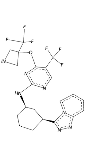 FC(F)(F)c1cnc(N[C@@H]2CCC[C@H](c3nnc4ccccn34)C2)nc1OC1(C(F)(F)F)CNC1